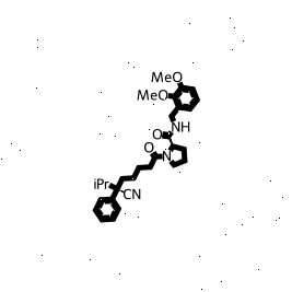 COc1cccc(CNC(=O)[C@H]2CCCN2C(=O)CCCC[C@@](C#N)(c2ccccc2)C(C)C)c1OC